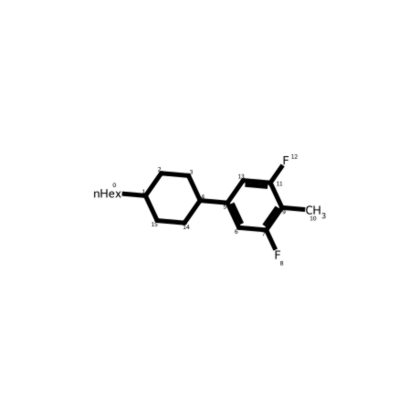 CCCCCCC1CCC(c2cc(F)c(C)c(F)c2)CC1